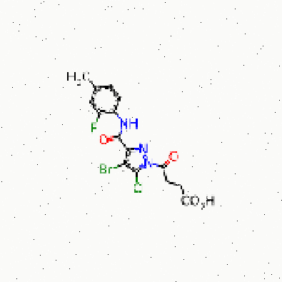 Cc1ccc(NC(=O)c2nn(C(=O)CCC(=O)O)c(Cl)c2Br)c(F)c1